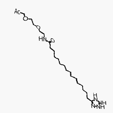 CC(=O)COCCOCCNC(=O)CCCCCCCCCCCCCCCC1=NNNN1